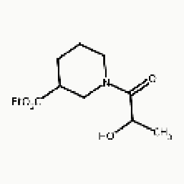 CCOC(=O)C1CCCN(C(=O)C(C)O)C1